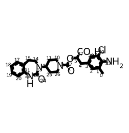 Cc1cc(CC(OC(=O)N2CCC(N3CCc4ccccc4NC3=O)CC2)C(=O)O)cc(Cl)c1N